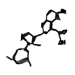 Cc1cc(C)cc(-n2ncc(-c3cc(C(=O)O)c4cc(Br)ccc4n3)c2C)c1